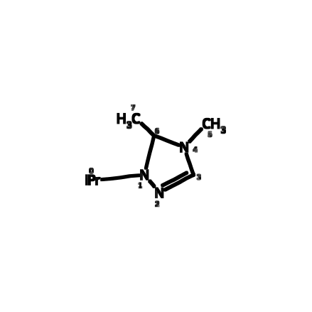 CC(C)N1N=CN(C)C1C